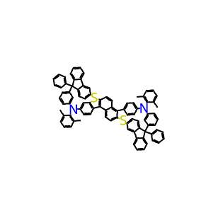 Cc1cccc(C)c1N(c1cccc(C2(c3ccccc3)c3ccccc3-c3ccccc32)c1)c1ccc2c(c1)sc1ccc3c(ccc4sc5cc(N(c6cccc(C7(c8ccccc8)c8ccccc8-c8ccccc87)c6)c6c(C)cccc6C)ccc5c43)c12